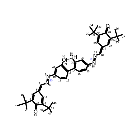 CC(C)(C)C1=CC(=C/N=N/c2ccc(-c3ccc(/N=N/C=C4C=C(C(C)(C)C)C(=O)C(C(C)(C)C)=C4)cc3O)c(O)c2)C=C(C(C)(C)C)C1=O